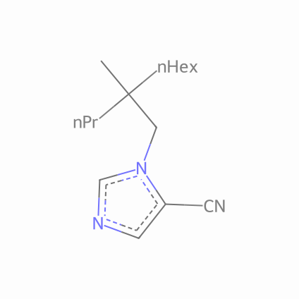 CCCCCCC(C)(CCC)Cn1cncc1C#N